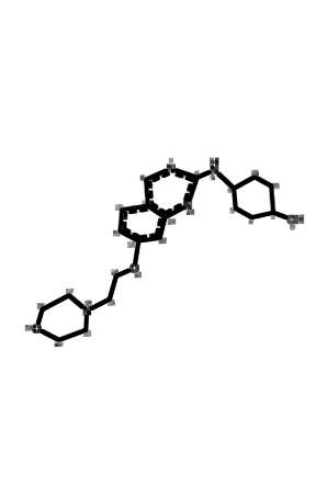 OC1CCC(Nc2ncc3ccc(OCCN4CCOCC4)cc3n2)CC1